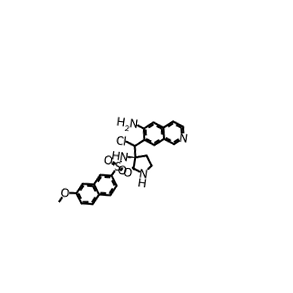 COc1ccc2ccc(S(=O)(=O)N[C@@]3(C(Cl)c4cc5cnccc5cc4N)CCNC3=O)cc2c1